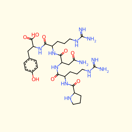 N=C(N)NCCCC(NC(=O)C(CC(N)=O)NC(=O)C(CCCNC(=N)N)NC(=O)C1CCCN1)C(=O)NC(Cc1ccc(O)cc1)C(=O)O